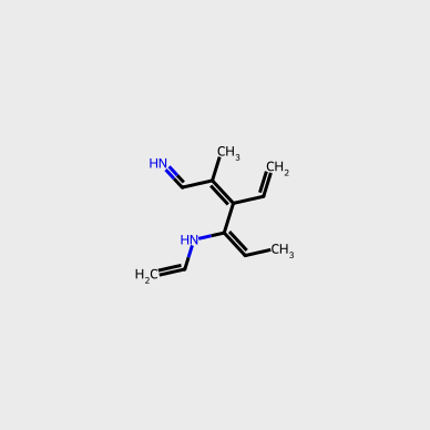 C=CNC(=C/C)/C(C=C)=C(/C)C=N